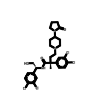 C[C@](CCN1CCC(N2CCCC2=O)CC1)(C(=O)N[C@@H](CO)c1ccc(Cl)c(Cl)c1)c1ccc(Cl)c(Cl)c1